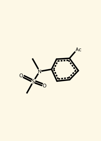 CC(=O)c1cccc(N(C)S(C)(=O)=O)c1